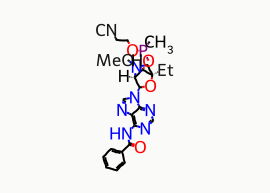 [C-]#[N+]CCOP(C)O[C@@H]1[C@H]2[C@H](n3cnc4c(NC(=O)c5ccccc5)ncnc43)O[C@]1(CC)CN2OC